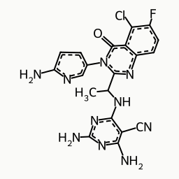 CC(Nc1nc(N)nc(N)c1C#N)c1nc2ccc(F)c(Cl)c2c(=O)n1-c1ccc(N)nc1